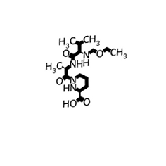 CCOCN[C@H](C(=O)N[C@@H](C)C(=O)N1CCC[C@@H](C(=O)O)N1)C(C)C